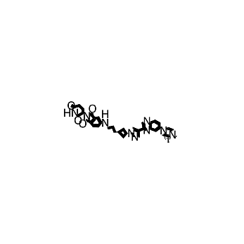 C[C@H]1CN(c2ccc3ncc(-c4cnn([C@H]5C[C@H](CCCNc6ccc7c(c6)C(=O)N(C6CCC(=O)NC6=O)C7=O)C5)c4)nc3c2)CCN1C